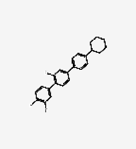 Fc1ccc(-c2ccc(-c3ccc(C4CCCCC4)cc3)cc2F)cc1F